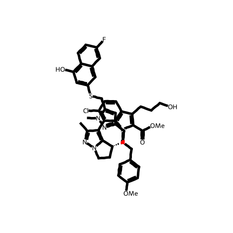 COC(=O)c1c(CCCO)c2ccc(Cl)c(-c3c(C)nn4c3[C@H](N(Cc3ccc(OC)cc3)Cc3cc(CSc5cc(O)c6ccc(F)cc6c5)n(C)n3)CC4)c2n1C